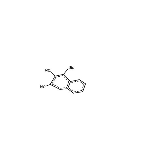 CC(C)(C)c1c(C#N)c(C#N)cc2ccccc12